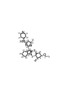 CCOc1cc(F)c(Cn2nc(-c3nc(C)cc(Nc4ccncc4)n3)c3ccccc32)c(F)c1